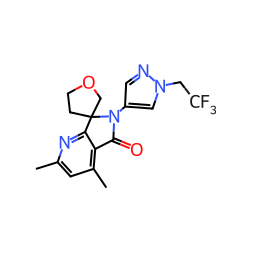 Cc1cc(C)c2c(n1)C1(CCOC1)N(c1cnn(CC(F)(F)F)c1)C2=O